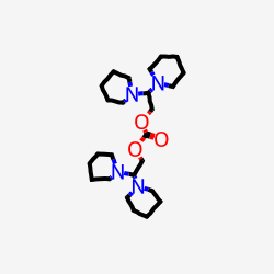 O=C(OCC(N1CCCCC1)N1CCCCC1)OCC(N1CCCCC1)N1CCCCC1